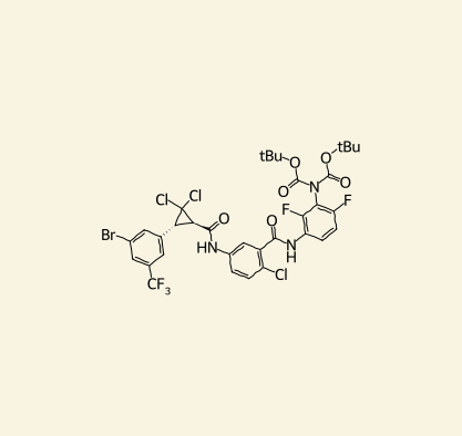 CC(C)(C)OC(=O)N(C(=O)OC(C)(C)C)c1c(F)ccc(NC(=O)c2cc(NC(=O)[C@H]3[C@H](c4cc(Br)cc(C(F)(F)F)c4)C3(Cl)Cl)ccc2Cl)c1F